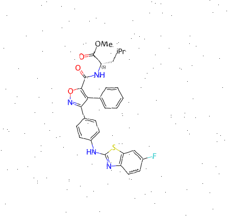 COC(=O)[C@H](CC(C)C)NC(=O)c1onc(-c2ccc(Nc3nc4ccc(F)cc4s3)cc2)c1-c1ccccc1